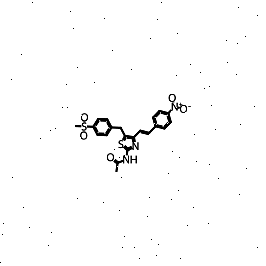 CC(=O)Nc1nc(/C=C/c2ccc([N+](=O)[O-])cc2)c(Cc2ccc(S(C)(=O)=O)cc2)s1